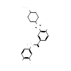 O=C(Nc1ccc(F)c(Cl)c1)c1ccc(Cl)c(S(=O)(=O)C2CCC(O)CC2)c1